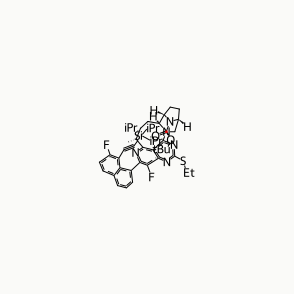 CCSc1nc2c3c(nc(-c4cccc5ccc(F)c(C#C[Si](C(C)C)(C(C)C)C(C)C)c45)c(F)c3n1)[C@H](C)CC[C@@H]1[C@@H]3CC[C@H](CN21)N3C(=O)OC(C)(C)C